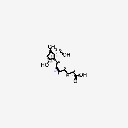 C[C@@H]1C[C@H](O)[C@H](C/C=C\CCCC(=O)O)[C@H]1CO